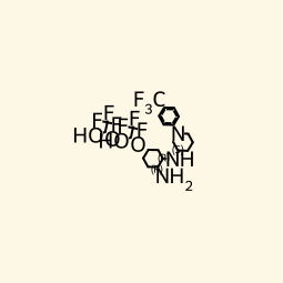 N[C@@H]1CCCC[C@H]1N[C@H]1CCCN(c2ccc(C(F)(F)F)cc2)C1.O=C(O)C(F)(F)F.O=C(O)C(F)(F)F